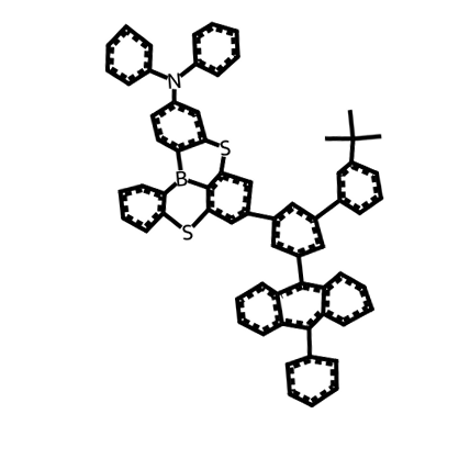 CC(C)(C)c1cccc(-c2cc(-c3cc4c5c(c3)Sc3cc(N(c6ccccc6)c6ccccc6)ccc3B5c3ccccc3S4)cc(-c3c4ccccc4c(-c4ccccc4)c4ccccc34)c2)c1